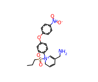 CCCS(=O)(=O)[N+]1(c2ccc(Oc3ccc([N+](=O)[O-])cc3)cc2)C=C(CN)C=CC1